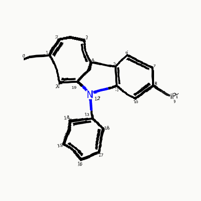 Cc1ccc2c3ccc(C(C)C)cc3n(-c3ccccc3)c2c1